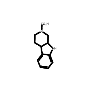 O=C(O)N1CCC2c3ccccc3NC2C1